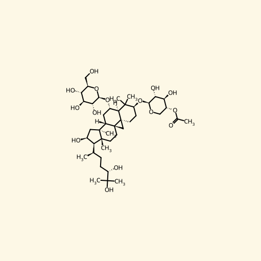 CC(=O)O[C@@H]1CO[C@@H](O[C@H]2CC[C@]34C[C@]35CC[C@]3(C)[C@@H]([C@H](C)CC[C@H](O)C(C)(C)O)[C@@H](O)C[C@@]3(C)[C@@H]5C[C@H](O[C@@H]3O[C@H](CO)[C@@H](O)[C@H](O)[C@H]3O)[C@H]4C2(C)C)[C@H](O)[C@H]1O